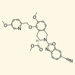 COC(=O)[C@@H]1Cc2c(ccc(OC)c2OCc2ccc(OC)cn2)CN1c1nc2ccc(C#N)cc2o1